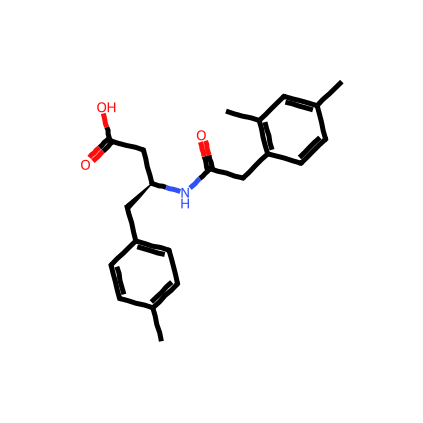 Cc1ccc(C[C@@H](CC(=O)O)NC(=O)Cc2ccc(C)cc2C)cc1